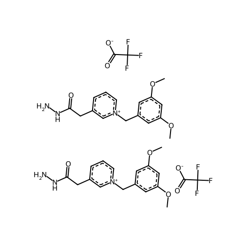 COc1cc(C[n+]2cccc(CC(=O)NN)c2)cc(OC)c1.COc1cc(C[n+]2cccc(CC(=O)NN)c2)cc(OC)c1.O=C([O-])C(F)(F)F.O=C([O-])C(F)(F)F